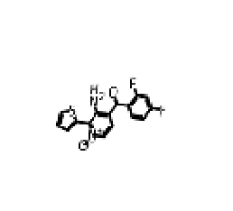 Nc1c(C(=O)c2ccc(F)cc2F)cc[n+]([O-])c1-c1cccs1